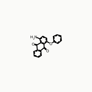 Nc1ccc(Oc2ccccc2)c2c1C(=O)c1ccccc1C2=O